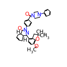 COc1ccc(C2=NN(c3ccc(C(=O)N4CCN(c5ccccc5)CC4)cc3)C(=O)[C@@H]3CC=CC[C@H]23)c2c1OC(C)(C)C2